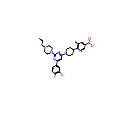 CCCN1CCN(c2nc(-c3ccc(F)c(Cl)c3)cc(N3CCC(c4ncc([N+](=O)[O-])cc4C)CC3)n2)CC1